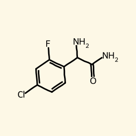 NC(=O)C(N)c1ccc(Cl)cc1F